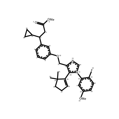 COC(=O)CC(c1cccc(OCc2ncn(-c3cc(OC)ccc3F)c2C2=CCCC2(C)C)c1)C1CC1